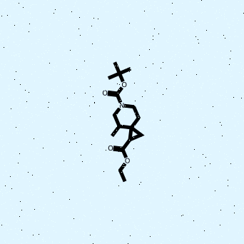 CCOC(=O)C1CC12CCN(C(=O)OC(C)(C)C)CC2C